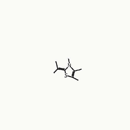 CC(C)=C1SC(C)=C(C)N1C